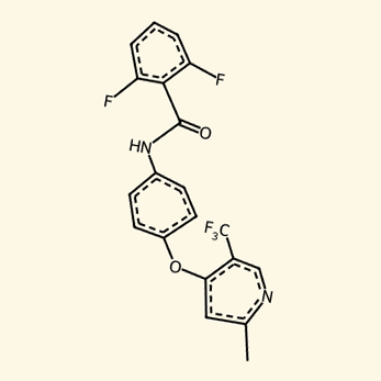 Cc1cc(Oc2ccc(NC(=O)c3c(F)cccc3F)cc2)c(C(F)(F)F)cn1